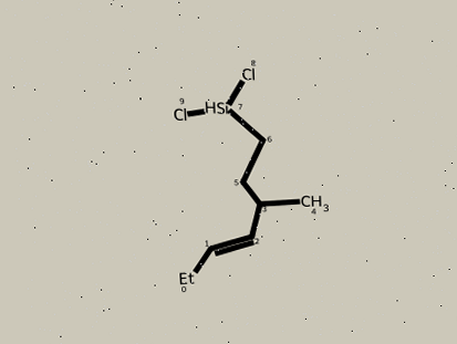 CCC=CC(C)CC[SiH](Cl)Cl